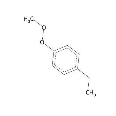 CCc1ccc(OOC)cc1